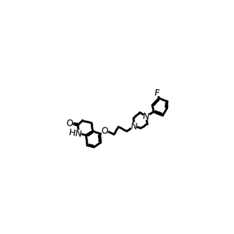 O=C1CCc2c(cccc2OCCCN2CCN(c3cccc(F)c3)CC2)N1